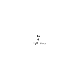 [AlH3].[Cu].[La].[Mn].[Ni]